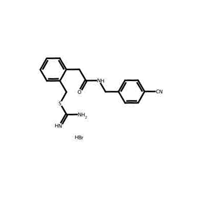 Br.N#Cc1ccc(CNC(=O)Cc2ccccc2CSC(=N)N)cc1